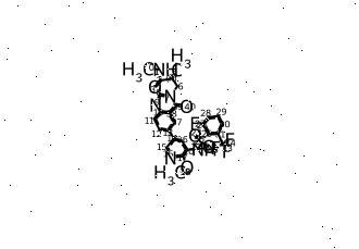 CNC(=O)[C@H](C)Cn1cnc2ccc(-c3cnc(OC)c(NS(=O)(=O)c4c(F)cccc4C(F)(F)F)c3)cc2c1=O